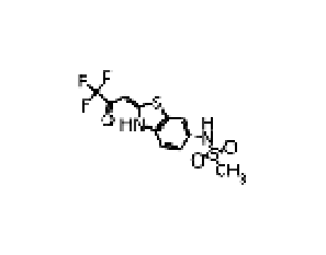 CS(=O)(=O)Nc1ccc2c(c1)S/C(=C/C(=O)C(F)(F)F)N2